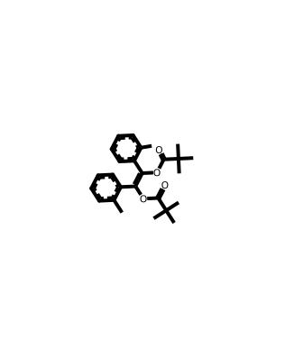 Cc1ccccc1C(OC(=O)C(C)(C)C)=C(OC(=O)C(C)(C)C)c1ccccc1C